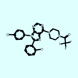 O=C(N1CCN(c2ncnc3c2nc(-c2ccccc2Cl)n3-c2ccc(Cl)cc2)CC1)C(F)(F)F